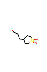 [O]CCCC1CCS(=O)(=O)CC1